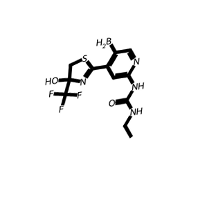 Bc1cnc(NC(=O)NCC)cc1C1=NC(O)(C(F)(F)F)CS1